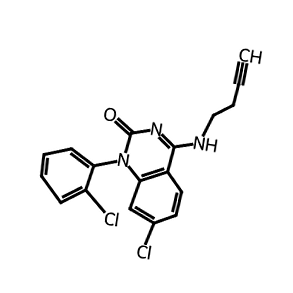 C#CCCNc1nc(=O)n(-c2ccccc2Cl)c2cc(Cl)ccc12